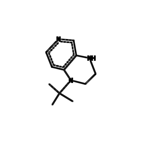 CC(C)(C)N1CCNc2cnccc21